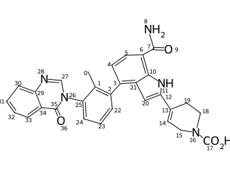 Cc1c(-c2ccc(C(N)=O)c3[nH]c(C4=CCN(C(=O)O)CC4)cc23)cccc1-n1cnc2ccccc2c1=O